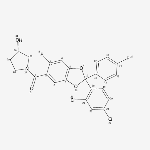 O=C(c1cc2c(cc1F)OC(c1ccc(F)cc1)(c1ccc(Cl)cc1Cl)O2)N1CC[C@H](O)C1